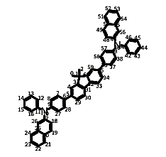 CC1(C)c2cc(-c3ccc(N(c4ccccc4)c4ccc5ccccc5c4)cc3)ccc2-c2ccc(-c3ccc(N(c4ccccc4)c4ccc5ccccc5c4)cc3)cc21